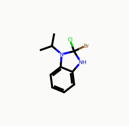 CC(C)N1c2ccccc2NC1(Cl)Br